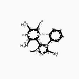 C[n+]1nc(S)n(-c2ccccc2)c1-c1nc(Cl)c(N)nc1N